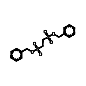 O=S(=O)(CCS(=O)(=O)OCc1ccccc1)OCc1ccccc1